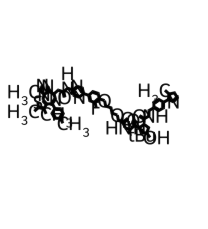 CC1=C(c2ccc(CNC(=O)[C@@H]3CC(O)CN3C(=O)[C@@H](NC(=O)COCCCOc3ccc(-c4cnc(NC(=O)CC5N=C(c6ccc(C)cc6)c6c(sc(C)c6C)-n6c(C)nnc65)cn4)cc3F)C(C)(C)C)cc2)N=CC1